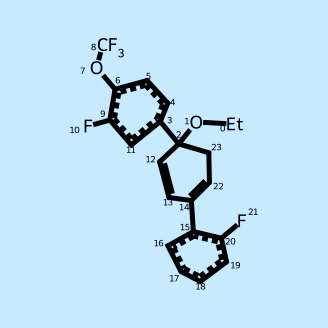 CCOC1(c2ccc(OC(F)(F)F)c(F)c2)C=CC(c2ccccc2F)=CC1